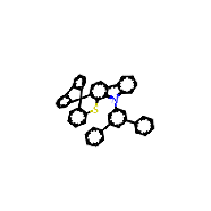 c1ccc(-c2cc(-c3ccccc3)cc(-n3c4ccccc4c4ccc5c(c43)Sc3ccccc3C53c4ccccc4-c4ccccc43)c2)cc1